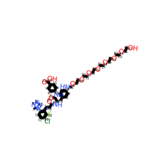 O=C(/C=C/c1c(-n2cnnn2)ccc(Cl)c1F)N[C@@H](Cc1ccc(NCOCCOCCOCCOCCOCCOCCOCCO)cc1)C(=O)Nc1ccc(C(=O)O)cc1